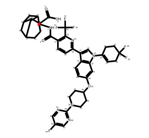 O=C(NC1(C(=O)O)C2CCC3CC(C2)CC1C3)c1ccc(-c2cn(C3=CCC(F)(F)CC3)c3cc(OC4CCN(c5ncc(F)cn5)CC4)ccc23)nc1C(F)(F)F